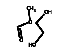 COC=O.OCCO